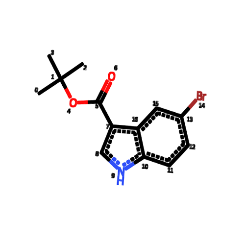 CC(C)(C)OC(=O)c1c[nH]c2ccc(Br)cc12